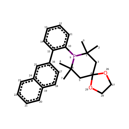 CC1(C)CC2(CC(C)(C)P1c1ccccc1-c1ccc3ccccc3c1)OCCO2